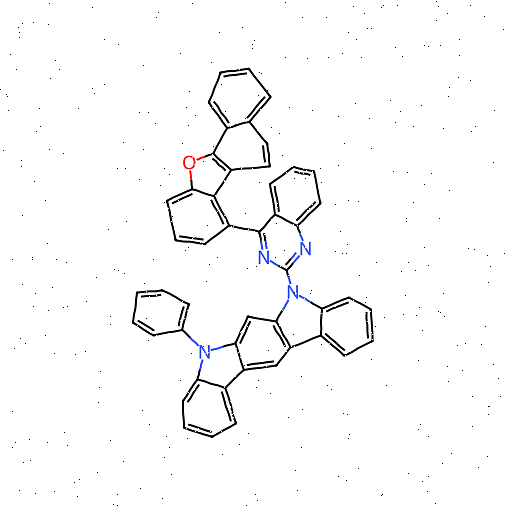 c1ccc(-n2c3ccccc3c3cc4c5ccccc5n(-c5nc(-c6cccc7oc8c9ccccc9ccc8c67)c6ccccc6n5)c4cc32)cc1